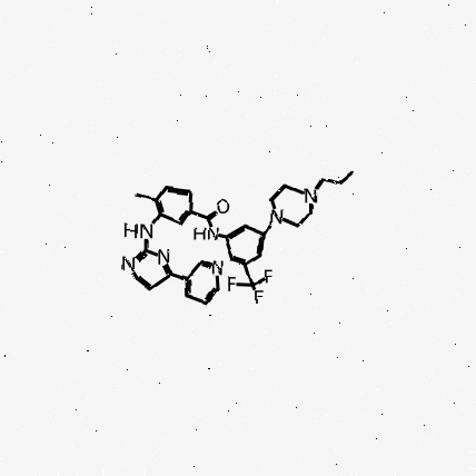 CCCN1CCN(c2cc(NC(=O)c3ccc(C)c(Nc4nccc(-c5cccnc5)n4)c3)cc(C(F)(F)F)c2)CC1